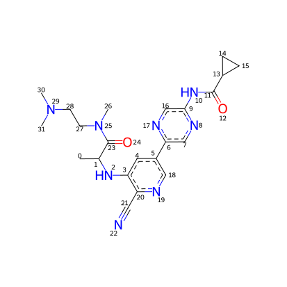 CC(Nc1cc(-c2cnc(NC(=O)C3CC3)cn2)cnc1C#N)C(=O)N(C)CCN(C)C